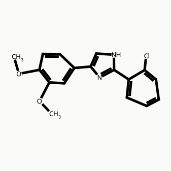 COc1ccc(-c2c[nH]c(-c3ccccc3Cl)n2)cc1OC